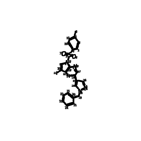 Cc1ccc(S(=O)(=O)n2cc(I)c3nc(-c4cnn(Cc5ccccc5)c4)cnc32)cc1